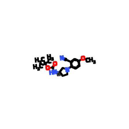 COc1ccc(N2CC[C@H](NC(=O)OC(C)(C)C)C2)c(C#N)c1